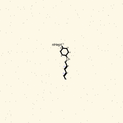 C/C=C/C=C/COC1CCC(CCCCCCC)CC1